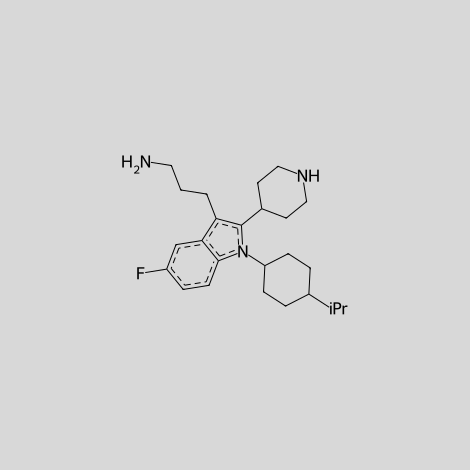 CC(C)C1CCC(n2c(C3CCNCC3)c(CCCN)c3cc(F)ccc32)CC1